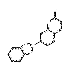 O=c1ccc2ccc(-n3nc4ccccc4n3)cc2o1